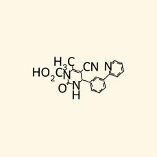 CC1=C(C#N)C(c2cccc(-c3ccccn3)c2)NC(=O)N1C(=O)O